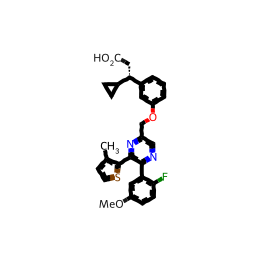 COc1ccc(F)c(-c2ncc(COc3cccc([C@@H](CC(=O)O)C4CC4)c3)nc2-c2sccc2C)c1